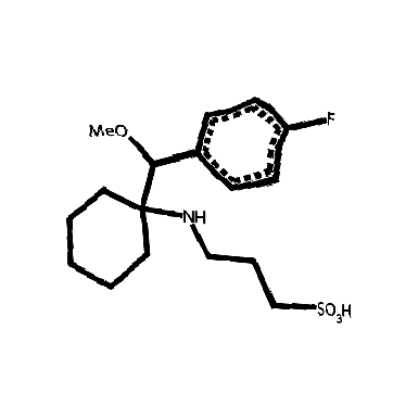 COC(c1ccc(F)cc1)C1(NCCCS(=O)(=O)O)CCCCC1